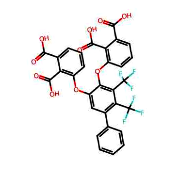 O=C(O)c1cccc(Oc2cc(-c3ccccc3)c(C(F)(F)F)c(C(F)(F)F)c2Oc2cccc(C(=O)O)c2C(=O)O)c1C(=O)O